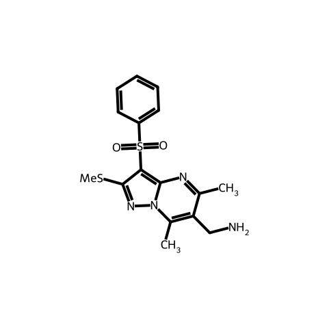 CSc1nn2c(C)c(CN)c(C)nc2c1S(=O)(=O)c1ccccc1